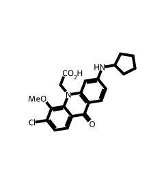 COc1c(Cl)ccc2c(=O)c3ccc(NC4CCCC4)cc3n(CC(=O)O)c12